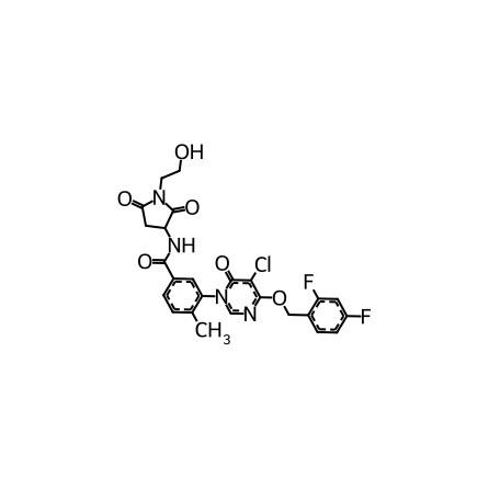 Cc1ccc(C(=O)NC2CC(=O)N(CCO)C2=O)cc1-n1cnc(OCc2ccc(F)cc2F)c(Cl)c1=O